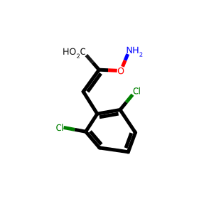 NOC(=Cc1c(Cl)cccc1Cl)C(=O)O